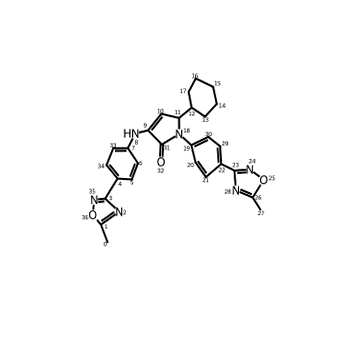 Cc1nc(-c2ccc(NC3=CC(C4CCCCC4)N(c4ccc(-c5noc(C)n5)cc4)C3=O)cc2)no1